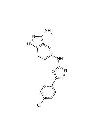 Nc1n[nH]c2ccc(Nc3ncc(-c4ccc(Cl)cc4)o3)cc12